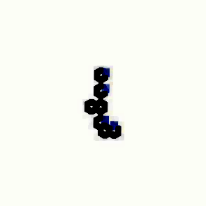 c1cncc(-c2ccc(-c3ccc(-c4ccc5ccc6cccnc6c5n4)c4ccccc34)cn2)c1